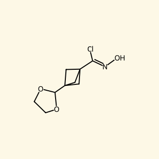 ON=C(Cl)C12CC(C3OCCO3)(C1)C2